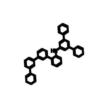 C1=CC(c2cccc(-c3cccc(-c4ccccc4Nc4cc(C5=CCCC=C5)cc(-c5ccccc5)c4)c3)c2)=CCC1